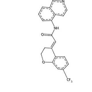 O=C(C=C1CCOc2cc(C(F)(F)F)ccc21)Nc1cccc2cnccc12